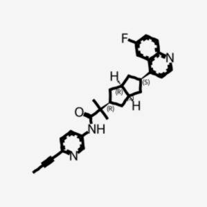 CC#Cc1ccc(NC(=O)C(C)(C)[C@H]2C[C@H]3C[C@@H](c4ccnc5ccc(F)cc45)C[C@H]3C2)cn1